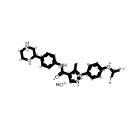 Cc1c(C(=O)Nc2ccc(C3CNCCO3)cc2)cnn1-c1ccc(OC(F)F)cc1.Cl